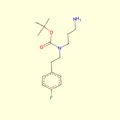 CC(C)(C)OC(=O)N(CCCN)CCc1ccc(F)cc1